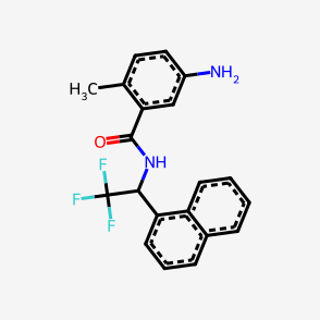 Cc1ccc(N)cc1C(=O)NC(c1cccc2ccccc12)C(F)(F)F